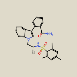 CC[C@H](Cn1cc(-c2ccccc2C(N)=O)c2ccccc21)NS(=O)(=O)c1c(C)cc(C)cc1C